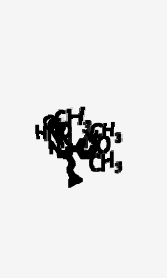 Cc1cc(-c2nc(NS(C)(=O)=O)ncc2CCC2CC2)cn(C)c1=O